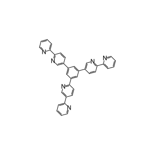 c1ccc(-c2ccc(-c3cc(-c4ccc(-c5ccccn5)nc4)cc(-c4ccc(-c5ccccn5)nc4)c3)nc2)nc1